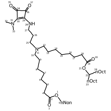 CCCCCCCCCOC(=O)CCCCCCCN(CCCCCCCC(=O)OC(CCCCCCCC)CCCCCCCC)CCCNc1c(N(C)C)c(=O)c1=O